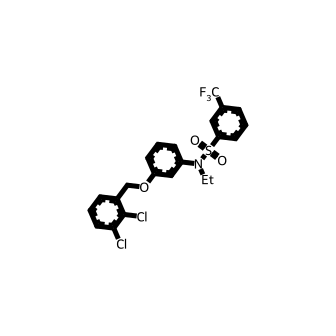 CCN(c1cccc(OCc2cccc(Cl)c2Cl)c1)S(=O)(=O)c1cccc(C(F)(F)F)c1